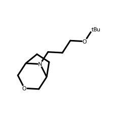 CC(C)(C)OCCCN1C2CCC1COC2